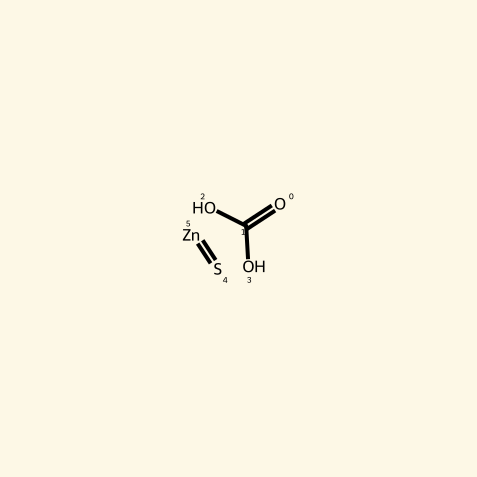 O=C(O)O.[S]=[Zn]